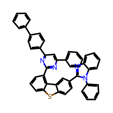 c1ccc(-c2ccc(-c3cc(-c4ccccc4)nc(-c4cccc5sc6ccc(-c7nc8ccccc8n7-c7ccccc7)cc6c45)n3)cc2)cc1